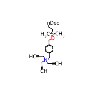 C#CC[N+](CC#C)(CC#C)Cc1ccc(CO[Si](C)(C)CCCCCCCCCCCC)cc1